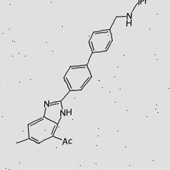 CC(=O)c1cc(C)cc2nc(-c3ccc(-c4ccc(CNC(C)C)cc4)cc3)[nH]c12